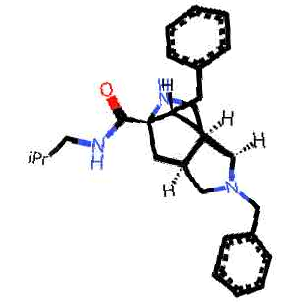 CC(C)CNC(=O)[C@@]12C[C@@H]3CN(Cc4ccccc4)[C@@H]([C@@H]3CN1)[C@H]2Cc1ccccc1